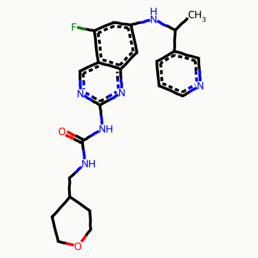 CC(Nc1cc(F)c2cnc(NC(=O)NCC3CCOCC3)nc2c1)c1cccnc1